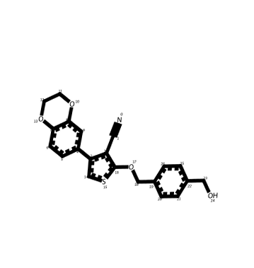 N#Cc1c(-c2ccc3c(c2)OCCO3)csc1OCc1ccc(CO)cc1